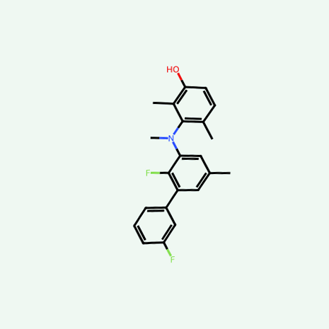 Cc1cc(-c2cccc(F)c2)c(F)c(N(C)c2c(C)ccc(O)c2C)c1